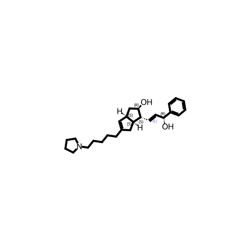 O[C@H](/C=C/[C@@H]1[C@H]2CC(CCCCCN3CCCC3)=C[C@H]2C[C@H]1O)c1ccccc1